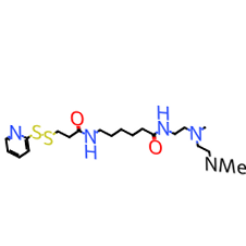 CNCCN(C)CCNC(=O)CCCCCNC(=O)CCSSc1ccccn1